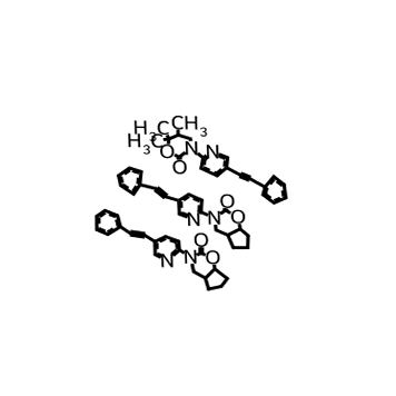 CC1CN(c2ccc(C#Cc3ccccc3)cn2)C(=O)OC1(C)C.O=C1OC2CCCC2CN1c1ccc(C#Cc2ccccc2)cn1.O=C1OC2CCCC2CN1c1ccc(C#Cc2ccccc2)cn1